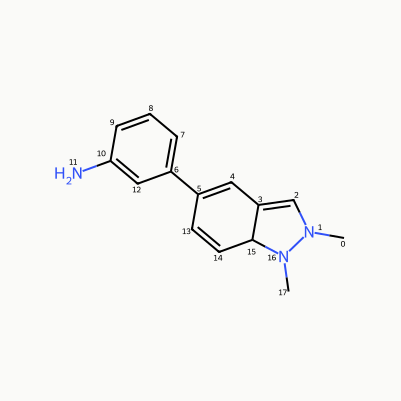 CN1C=C2C=C(c3cccc(N)c3)C=CC2N1C